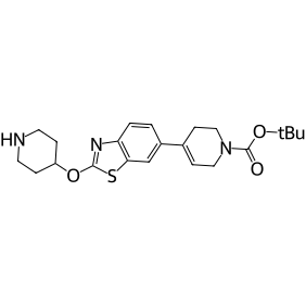 CC(C)(C)OC(=O)N1CC=C(c2ccc3nc(OC4CCNCC4)sc3c2)CC1